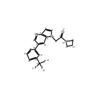 O=C(Cn1ccc2ncc(-c3cccc(C(F)(F)F)c3)cc21)N1CCC1